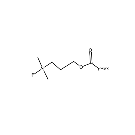 CCCCCCC(=O)OCCC[Si](C)(C)F